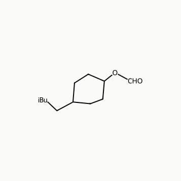 CCC(C)CC1CCC(OC=O)CC1